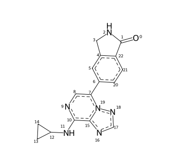 O=C1NCc2cc(-c3cnc(NC4CC4)c4ncnn34)ccc21